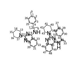 Cc1ccc(C(C)(C)Nc2nc(N3CCCCC3)nc3ccccc23)cc1.Cc1ccc([C@@H](C)Nc2nc(N3CCCCC3)nc3ccccc23)cc1